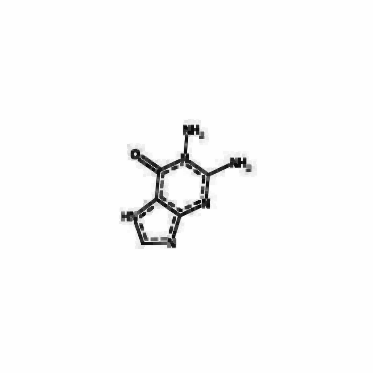 Nc1nc2nc[nH]c2c(=O)n1N